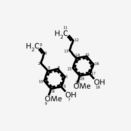 C=CCc1ccc(O)c(OC)c1.C=CCc1ccc(O)c(OC)c1